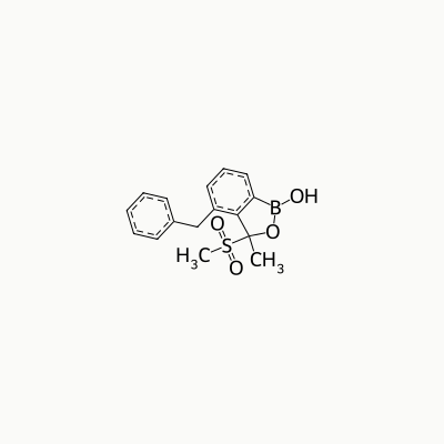 CC1(S(C)(=O)=O)OB(O)c2cccc(Cc3ccccc3)c21